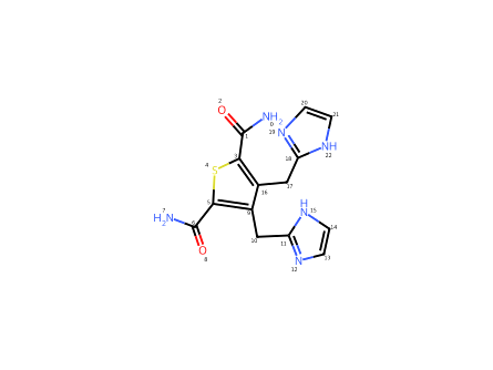 NC(=O)c1sc(C(N)=O)c(Cc2ncc[nH]2)c1Cc1ncc[nH]1